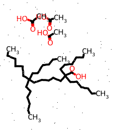 CC(=O)O.CC(=O)O.CC(=O)O.CCCCCCC(CCCCCC)(CCCCCC)CCCCCC(CCCCCC)(CCCCCC)C(=O)O